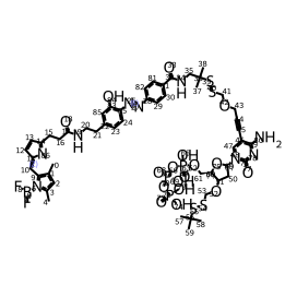 Cc1cc(C)n(B(F)F)c1/C=C1/C=CC(CCC(=O)NCCc2ccc(/N=N/c3ccc(C(=O)NCC(C)(C)SSCOCC#Cc4cn([C@H]5CC(OCSSC(C)(C)C)[C@@H](COP(=O)(O)OP(=O)(O)OP(=O)(O)O)O5)c(=O)nc4N)cc3)c(O)c2)=N1